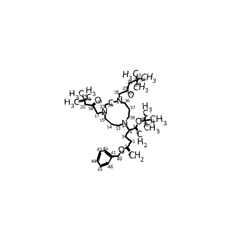 C=C(CCC(C(=C)OC(C)(C)C)N1CCCN(CC(=O)CC(C)(C)C)CCN(CC(=O)CC(C)(C)C)CCC1)OCc1ccccc1